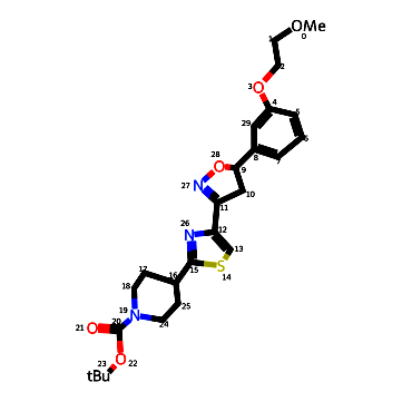 COCCOc1cccc(C2CC(c3csc(C4CCN(C(=O)OC(C)(C)C)CC4)n3)=NO2)c1